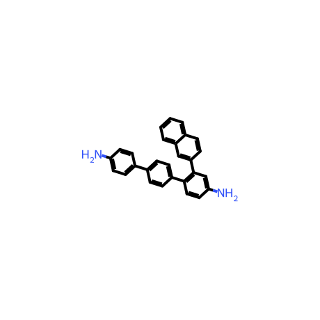 Nc1ccc(-c2ccc(-c3ccc(N)cc3-c3ccc4ccccc4c3)cc2)cc1